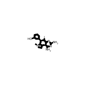 Cn1ccc2c3c(N)nc(N)nc3c(I)c(-c3cccc(O)c3)c21